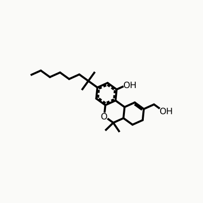 CCCCCCC(C)(C)c1cc(O)c2c(c1)OC(C)(C)C1CCC(CO)=CC21